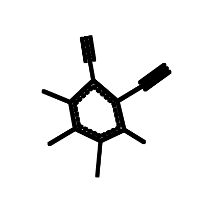 C#Cc1c(C)c(C)c(C)c(C)c1C#C